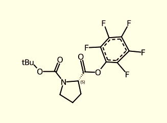 CC(C)(C)OC(=O)N1CCC[C@H]1C(=O)Oc1c(F)c(F)c(F)c(F)c1F